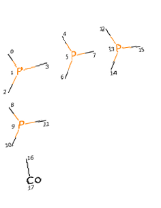 CP(C)C.CP(C)C.CP(C)C.CP(C)C.[CH3][Co]